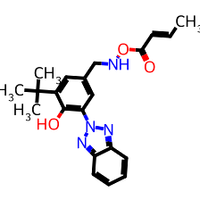 CC=CC(=O)ONCc1cc(-n2nc3ccccc3n2)c(O)c(C(C)(C)C)c1